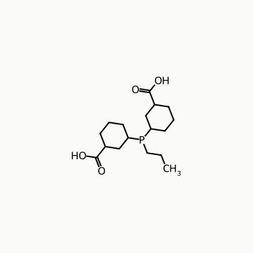 CCCP(C1CCCC(C(=O)O)C1)C1CCCC(C(=O)O)C1